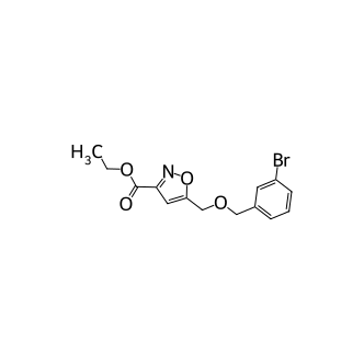 CCOC(=O)c1cc(COCc2cccc(Br)c2)on1